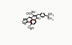 CC(C)Oc1ccc(C(=O)/C(Cc2ccc(N(C)C)cc2)=C(/C(=O)[O-])c2ccc3nsnc3c2)cc1.[Na+]